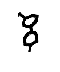 Cc1ccc(-c2cccc(F)n2)cc1